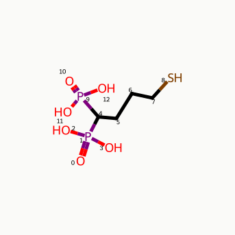 O=P(O)(O)C(CCCS)P(=O)(O)O